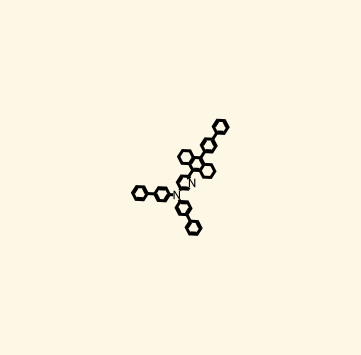 c1ccc(-c2ccc(-c3c4c(c(-c5ccc(N(c6ccc(-c7ccccc7)cc6)c6ccc(-c7ccccc7)cc6)cn5)c5c3CCCC5)CCCC4)cc2)cc1